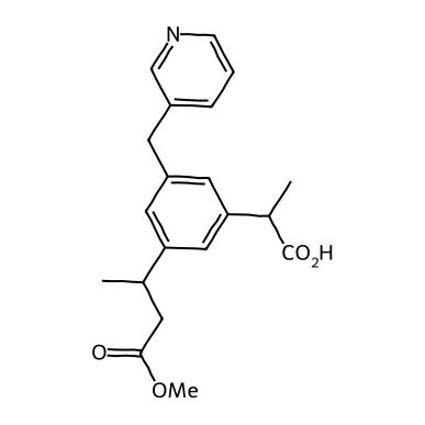 COC(=O)CC(C)c1cc(Cc2cccnc2)cc(C(C)C(=O)O)c1